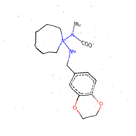 CC(C)(C)N(C(=O)[O-])[N+]1(NCc2ccc3c(c2)OCCO3)CCCCCC1